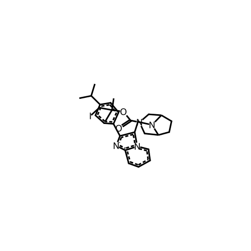 CC(C)c1ccc(-c2nc3ccccn3c2CN2C3CCC2CN(C(=O)OC(C)(C)CI)C3)cc1